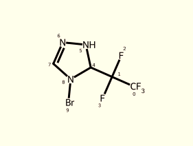 FC(F)(F)C(F)(F)C1NN=CN1Br